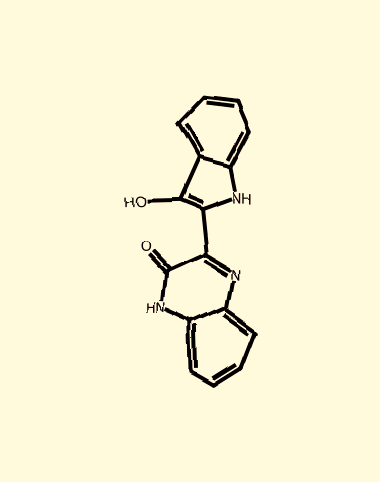 O=c1[nH]c2ccccc2nc1-c1[nH]c2ccccc2c1O